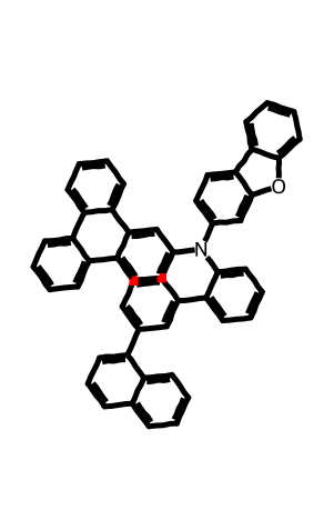 c1cc(-c2ccccc2N(c2ccc3c(c2)oc2ccccc23)c2ccc3c4ccccc4c4ccccc4c3c2)cc(-c2cccc3ccccc23)c1